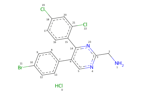 Cl.NCc1ncc(-c2ccc(Br)cc2)c(-c2ccc(Cl)cc2Cl)n1